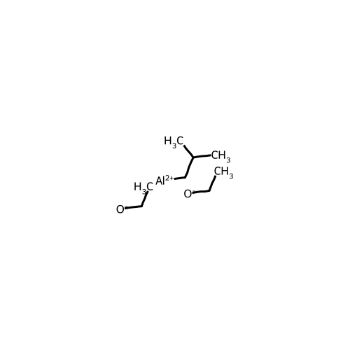 CC(C)[CH2][Al+2].CC[O-].CC[O-]